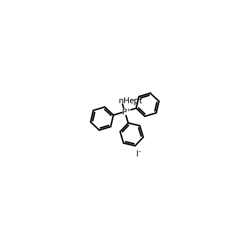 CCCCCCC[P+](c1ccccc1)(c1ccccc1)c1ccccc1.[I-]